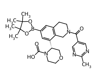 Cc1ncc(C(=O)N2CCc3cc(B4OC(C)(C)C(C)(C)O4)cc([C@@H]4COCCN4C(=O)O)c3C2)cn1